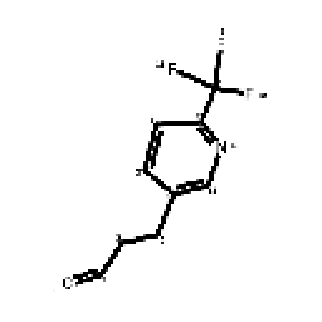 O=CCCc1ccc(C(F)(F)F)nc1